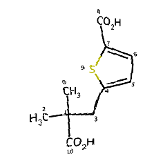 CC(C)(Cc1ccc(C(=O)O)s1)C(=O)O